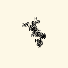 CC(C)(C)OC(=O)CON=C(C(=O)NC1C(=O)N2C(C(=O)O)=C(CSc3nnnn3CCNC(=O)OC(C)(C)C)CS[C@@H]12)c1csc(NC=O)n1